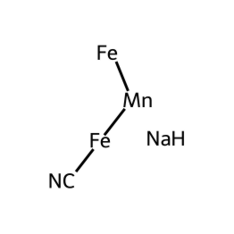 N#[C][Fe][Mn][Fe].[NaH]